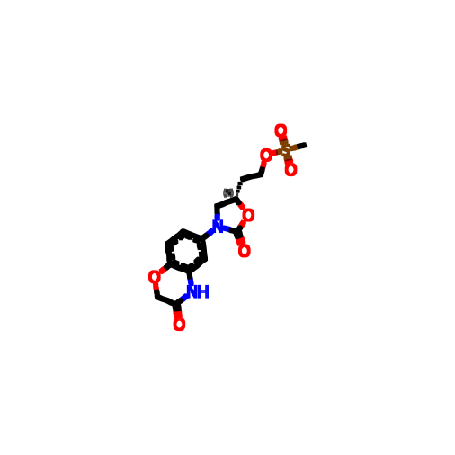 CS(=O)(=O)OCC[C@H]1CN(c2ccc3c(c2)NC(=O)CO3)C(=O)O1